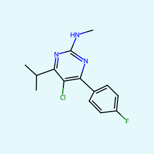 CNc1nc(-c2ccc(F)cc2)c(Cl)c(C(C)C)n1